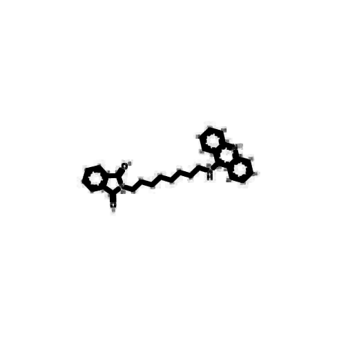 O=C1c2ccccc2C(=O)N1CCCCCCCCNc1c2ccccc2nc2ccccc12